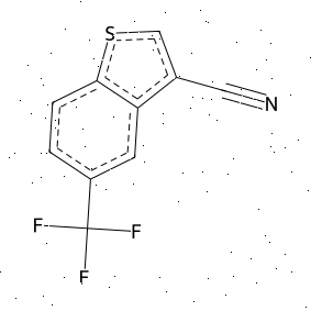 N#Cc1csc2ccc(C(F)(F)F)cc12